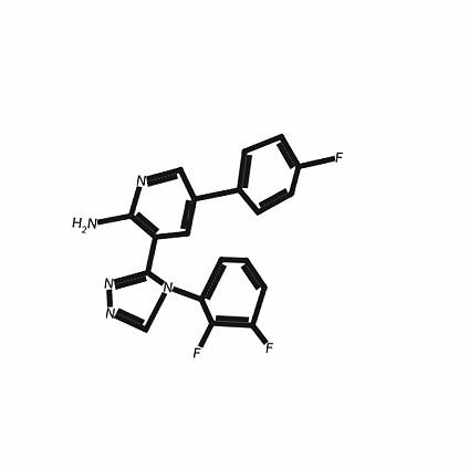 Nc1ncc(-c2ccc(F)cc2)cc1-c1nncn1-c1cccc(F)c1F